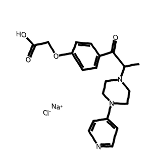 CC(C(=O)c1ccc(OCC(=O)O)cc1)N1CCN(c2ccncc2)CC1.[Cl-].[Na+]